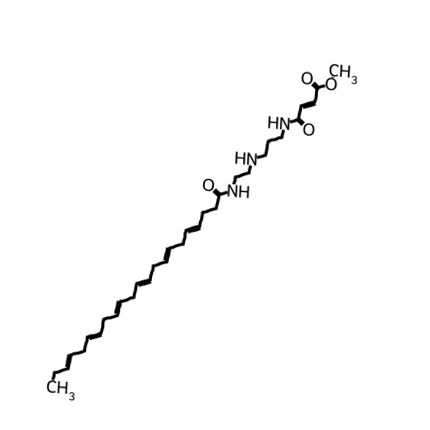 CCC=CCC=CCC=CCC=CCC=CCC=CCCC(=O)NCCNCCCNC(=O)/C=C/C(=O)OC